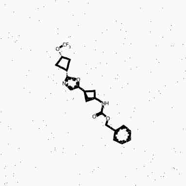 O=C(NC12CC(c3cnc([C@H]4C[C@@H](OC(F)(F)F)C4)o3)(C1)C2)OCc1ccccc1